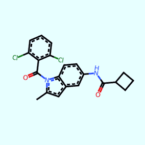 Cc1cc2cc(NC(=O)C3CCC3)ccc2n1C(=O)c1c(Cl)cccc1Cl